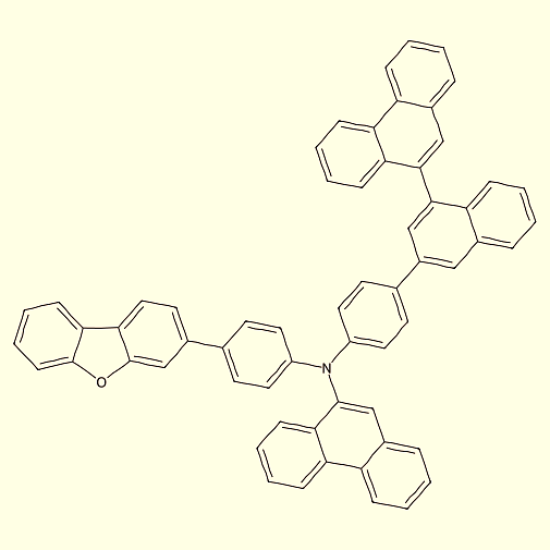 c1ccc2c(-c3cc4ccccc4c4ccccc34)cc(-c3ccc(N(c4ccc(-c5ccc6c(c5)oc5ccccc56)cc4)c4cc5ccccc5c5ccccc45)cc3)cc2c1